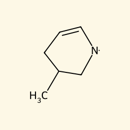 CC1CC=C[N]C1